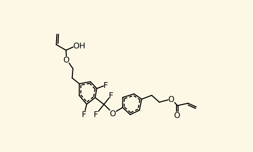 C=CC(=O)OCCc1ccc(OC(F)(F)c2c(F)cc(CCOC(O)C=C)cc2F)cc1